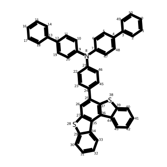 c1ccc(-c2ccc(N(c3ccc(-c4ccccc4)cc3)c3ccc(-c4cc5sc6ccccc6c5c5c4sc4ccccc45)cc3)cc2)cc1